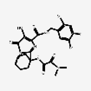 CN(C)C(=O)C(=O)NC12CCC(CC1)Cn1c2nc(C(=O)NCc2cc(Br)c(F)cc2Br)c(O)c1=O